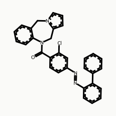 O=C(c1ccc(/N=N/c2ccccc2-c2ccccc2)cc1Cl)N1Cc2cccn2Cc2ccccc21